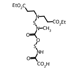 CCOC(=O)CCN(CCC(=O)OCC)SN(C)C(=O)OSNC(=O)C(=O)O